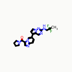 CC(F)(F)CNc1ncc2c(-c3ccc4ncc(C(=O)N5CCCC5)n4c3)ccn2n1